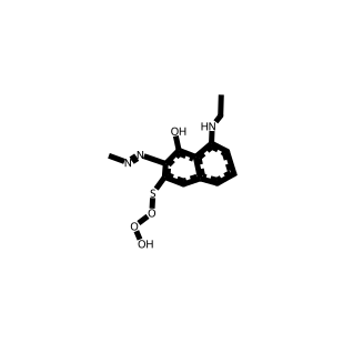 CCNc1cccc2cc(SOOO)c(/N=N/C)c(O)c12